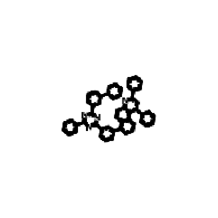 c1ccc(-c2cccc(-c3nc(-c4ccccc4)nc(-c4cccc(-c5cccc6c5ccc5nc(-c7ccccc7)cc(-c7ccccc7)c56)c4)n3)c2)cc1